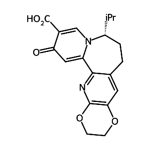 CC(C)[C@@H]1CCc2cc3c(nc2-c2cc(=O)c(C(=O)O)cn21)OCCO3